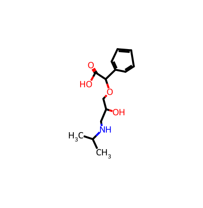 CC(C)NCC(O)COC(C(=O)O)c1ccccc1